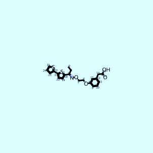 CC/C(=N\OCCOc1cccc(CC(=O)O)c1)c1ccc(-c2cccs2)s1